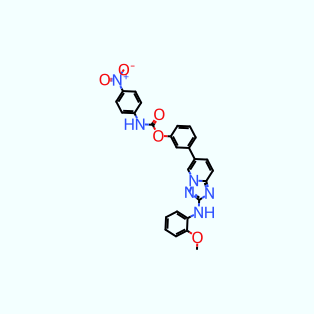 COc1ccccc1Nc1nc2ccc(-c3cccc(OC(=O)Nc4ccc([N+](=O)[O-])cc4)c3)cn2n1